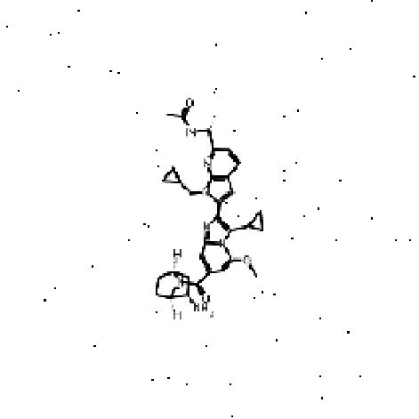 COc1cc(C(=O)N2[C@H]3CC[C@@H]2[C@H](N)C3)cc2nc(-c3cc4ccc([C@@H](C)NC(C)=O)nc4n3CC3CC3)c(C3CC3)n12